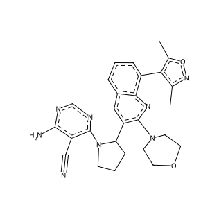 Cc1noc(C)c1-c1cccc2cc(C3CCCN3c3ncnc(N)c3C#N)c(N3CCOCC3)nc12